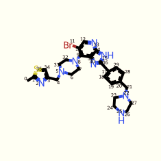 Cc1nc(CN2CCN(c3c(Br)cnc4[nH]c(-c5ccc(CN6CCNCC6)cc5)nc34)CC2)cs1